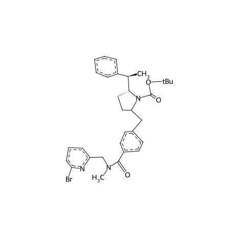 C[C@H](c1ccccc1)[C@H]1CCC(Cc2ccc(C(=O)N(C)Cc3cccc(Br)n3)cc2)N1C(=O)OC(C)(C)C